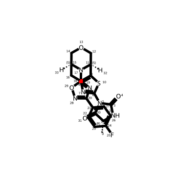 C[C@H]1NC(=O)N(c2nc3c(s2)[C@@H]2COC[C@H](C3)N2c2nc(-c3ccc(F)cc3)no2)C1=O